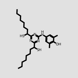 CCCCCCCC(S)c1nc(Nc2cc(C)c(O)c(C)c2)nc(C(S)CCCCCCC)n1